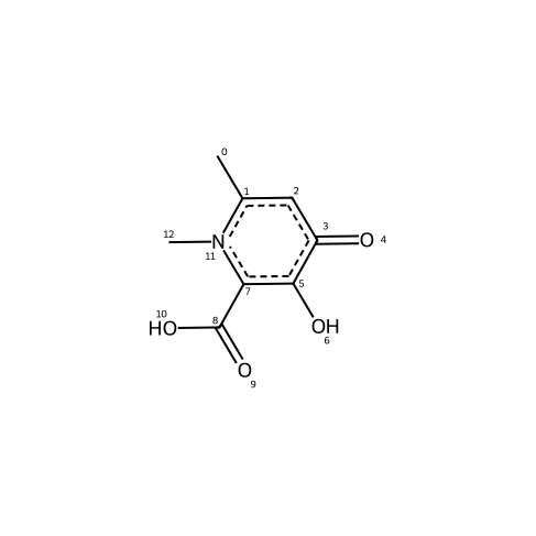 Cc1cc(=O)c(O)c(C(=O)O)n1C